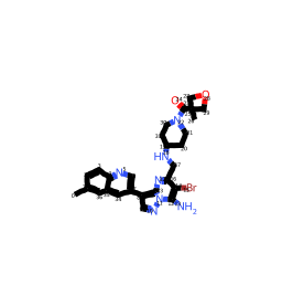 Cc1ccc2ncc(-c3cnn4c(N)c(Br)c(CNC5CCN(C(=O)C6(C)COC6)CC5)nc34)cc2c1